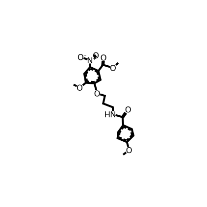 COC(=O)c1cc(OCCCNC(=O)c2ccc(OC)cc2)c(OC)cc1[N+](=O)[O-]